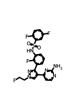 Nc1nccc(-c2cn(CCF)nc2-c2cccc(NS(=O)(=O)c3cc(F)ccc3F)c2F)n1